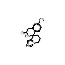 N#Cc1ccc2c(c1)CC(=O)NC21CCCn2cncc21